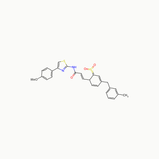 COc1ccc(-c2csc(NC(=O)C=CC3C=CC(Cc4cccc(C)c4)=CC3=S(=O)=O)n2)cc1